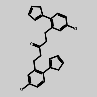 O=C(CCc1cc(Cl)ccc1C1=CC=CC1)CCc1cc(Cl)ccc1C1=CC=CC1